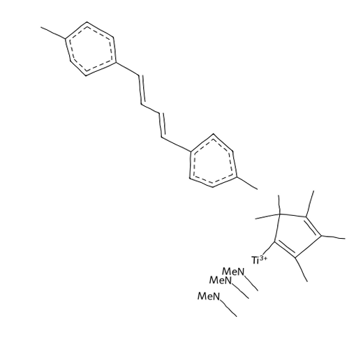 CC1=C(C)C(C)(C)[C]([Ti+3])=C1C.C[N-]C.C[N-]C.C[N-]C.Cc1ccc(C=CC=Cc2ccc(C)cc2)cc1